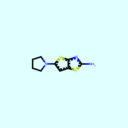 Nc1nc2sc(N3CCCC3)cc2s1